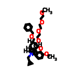 COCCOCCOCCO[C@]12CCC3c4ccc(OC)c5c4[C@@]4(CCN(CC6CC6)[C@H]3[C@H]4C[C@@H]1COCc1ccccc1)[C@H]2O5